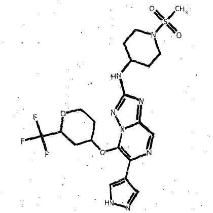 CS(=O)(=O)N1CCC(Nc2nc3cnc(-c4cn[nH]c4)c(OC4CCOC(C(F)(F)F)C4)n3n2)CC1